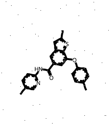 Cc1ccc(Oc2cc(C(=O)Nc3ccc(C)cn3)cc3cc(C)sc23)cc1